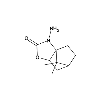 CC1(C)C2CCC13C(C2)OC(=O)N3N